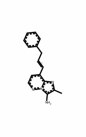 Cc1nc2c(/C=C/Cc3ccccc3)ccnn2c1N